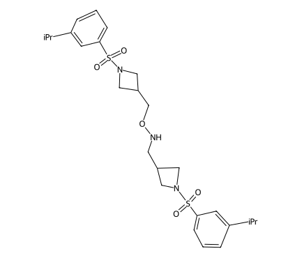 CC(C)c1cccc(S(=O)(=O)N2CC(CNOCC3CN(S(=O)(=O)c4cccc(C(C)C)c4)C3)C2)c1